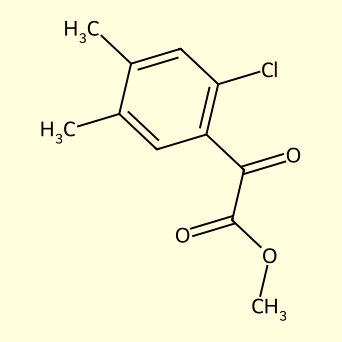 COC(=O)C(=O)c1cc(C)c(C)cc1Cl